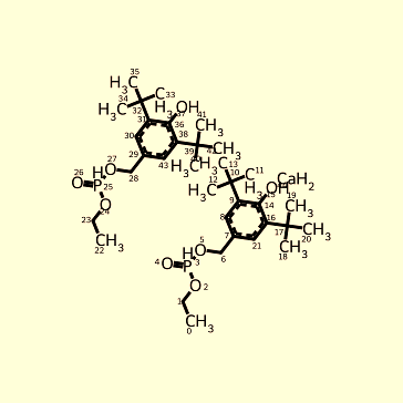 CCO[PH](=O)OCc1cc(C(C)(C)C)c(O)c(C(C)(C)C)c1.CCO[PH](=O)OCc1cc(C(C)(C)C)c(O)c(C(C)(C)C)c1.[CaH2]